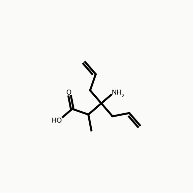 C=CCC(N)(CC=C)C(C)C(=O)O